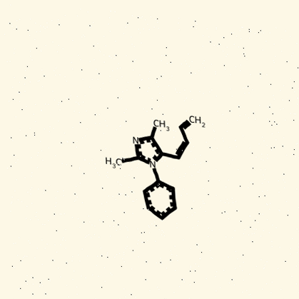 C=C/C=C\c1c(C)nc(C)n1-c1ccccc1